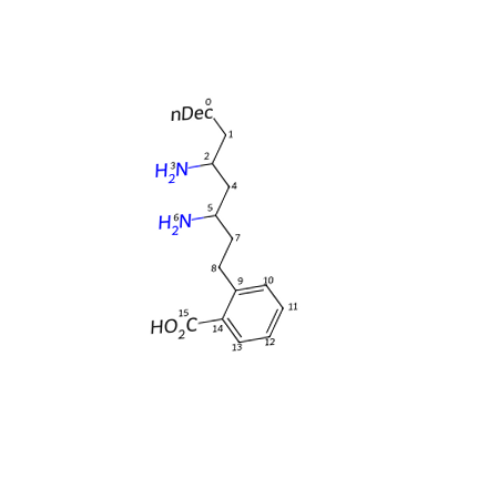 CCCCCCCCCCCC(N)CC(N)CCc1ccccc1C(=O)O